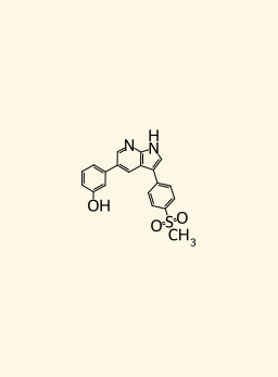 CS(=O)(=O)c1ccc(-c2c[nH]c3ncc(-c4cccc(O)c4)cc23)cc1